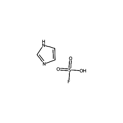 O=S(=O)(O)F.c1c[nH]cn1